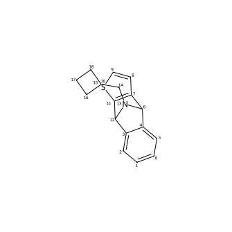 c1ccc2c(c1)C1c3ccsc3C2N1CC1CCC1